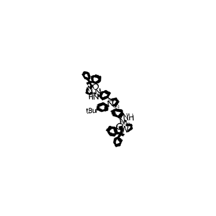 CC(C)(C)c1ccc(N2[C@@H](c3ccc4nc([C@@H]5CCCN5C(=O)C(C)(c5ccccc5)c5ccccc5)[nH]c4c3)CC[C@@H]2c2ccc3nc([C@@H]4CCCN4C(=O)C(C)(c4ccccc4)c4ccccc4)[nH]c3c2)cc1